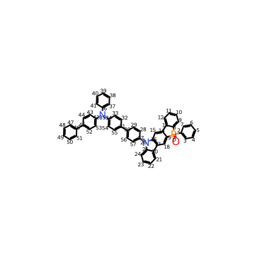 O=P1(c2ccccc2)c2ccccc2-c2cc3c(cc21)c1ccccc1n3-c1ccc(-c2ccc(N(c3ccccc3)c3ccc(-c4ccccc4)cc3)cc2)cc1